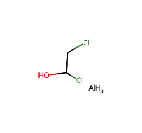 OC(Cl)CCl.[AlH3]